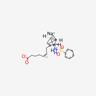 CC1(C)[C@H]2C[C@H](C/C=C\CCCC(=O)[O-])[C@@H](NS(=O)(=O)c3ccccc3)[C@@H]1C2.[Na+]